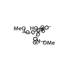 COCCCN1CCOc2ccc(CO[C@H]3CN(S(=O)(=O)c4ccc(C)cc4)C[C@@H](O)[C@@H]3c3ccc(COC[C@@H](C)COC)cc3)cc21